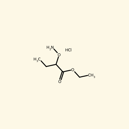 CCOC(=O)C(CC)ON.Cl